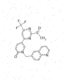 C[S+]([O-])c1nc(-c2ccc(=O)n(Cc3ccc4ncccc4c3)c2)cc(C(F)(F)F)n1